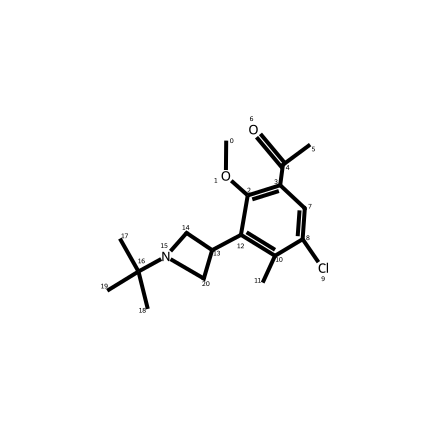 COc1c(C(C)=O)cc(Cl)c(C)c1C1CN(C(C)(C)C)C1